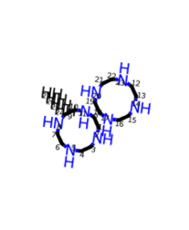 C1CNCCNCCNCCN1.C1CNCCNCCNCCN1.[HH].[HH].[HH].[HH]